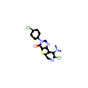 CN(C)c1c(Cl)ncc2sc3c(=O)n(-c4ccc(Cl)cc4)cnc3c12